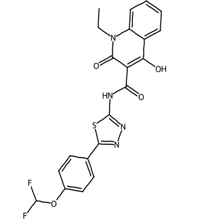 CCn1c(=O)c(C(=O)Nc2nnc(-c3ccc(OC(F)F)cc3)s2)c(O)c2ccccc21